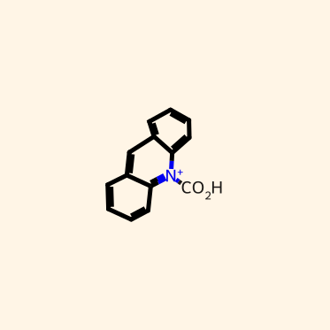 O=C(O)[n+]1c2ccccc2cc2ccccc21